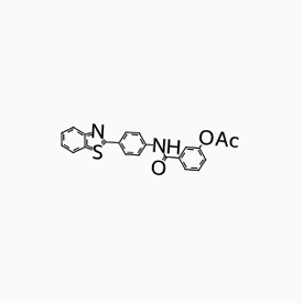 CC(=O)Oc1cccc(C(=O)Nc2ccc(-c3nc4ccccc4s3)cc2)c1